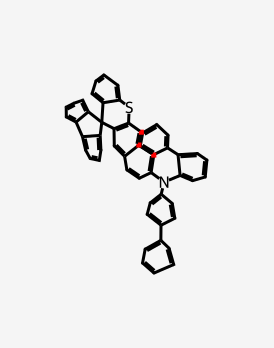 c1ccc(-c2ccc(N(c3ccc4cc5c(cc4c3)Sc3ccccc3C53c4ccccc4-c4ccccc43)c3ccccc3-c3ccccc3)cc2)cc1